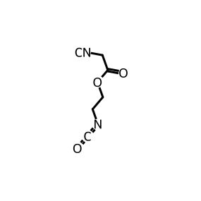 [C-]#[N+]CC(=O)OCCN=C=O